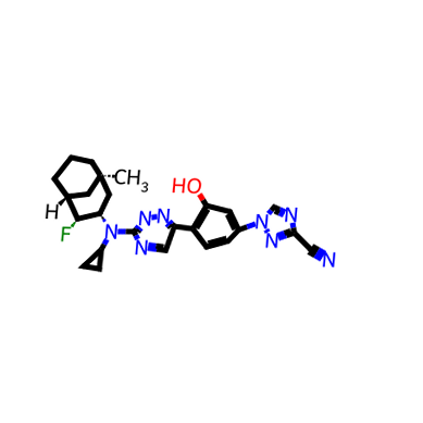 C[C@@]12CCC[C@H](C1)[C@@H](F)[C@@H](N(c1ncc(-c3ccc(-n4cnc(C#N)n4)cc3O)nn1)C1CC1)C2